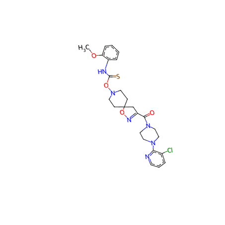 COc1ccccc1NC(=S)ON1CCC2(CC1)CC(C(=O)N1CCN(c3ncccc3Cl)CC1)=NO2